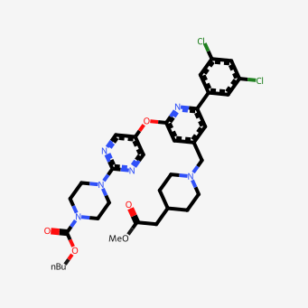 CCCCOC(=O)N1CCN(c2ncc(Oc3cc(CN4CCC(CC(=O)OC)CC4)cc(-c4cc(Cl)cc(Cl)c4)n3)cn2)CC1